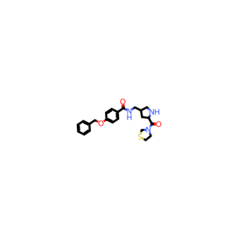 O=C(NCC1CNC(C(=O)N2CCSC2)C1)c1ccc(OCc2ccccc2)cc1